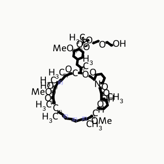 CO[C@H]1C[C@@H]2CC[C@@H](C)[C@@](O)(O2)C(=O)C(=O)N2CCCCC2C(=O)OC([C@H](C)CC2CC[C@@H](OP(C)(=O)OCCOCCO)[C@H](OC)C2)CC(=O)[C@H](C)/C=C(\C)[C@@H](O)[C@@H](OC)C(=O)[C@H](C)C[C@H](C)/C=C/C=C/C=C/1C